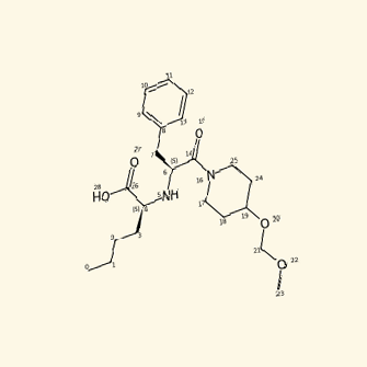 CCCC[C@H](N[C@@H](Cc1ccccc1)C(=O)N1CCC(OCOC)CC1)C(=O)O